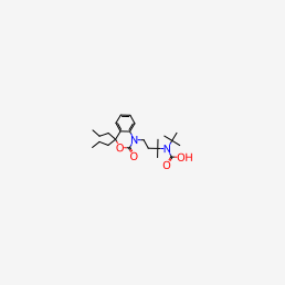 CCCC1(CCC)OC(=O)N(CCC(C)(C)N(C(=O)O)C(C)(C)C)c2ccccc21